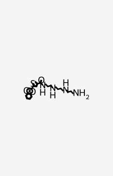 NCCCNCCCCNCCCNC(=O)c1csc(C2COc3ccccc3O2)c1